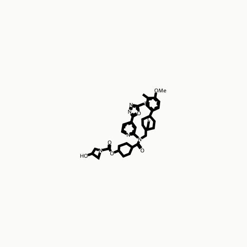 COc1ccc(C23CCC(CN(C(=O)C4CCC(OC(=O)N5CC(O)C5)CC4)c4cc(-c5nnc(C(C)C)o5)ccn4)(CC2)CC3)cc1C